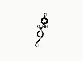 CCCN1CCN(C(=O)Nc2ccc(Cl)cc2)CC1